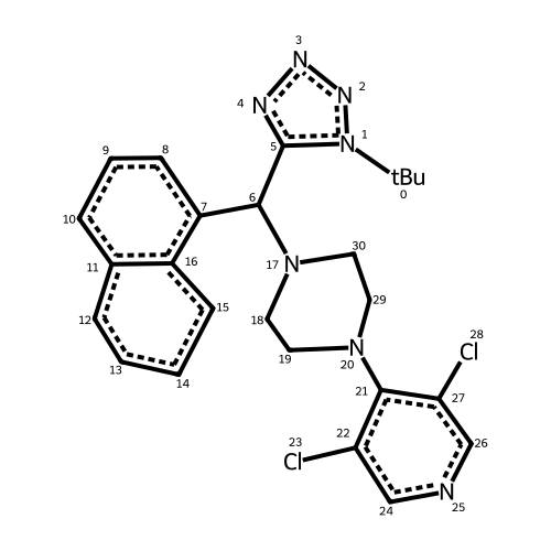 CC(C)(C)n1nnnc1C(c1cccc2ccccc12)N1CCN(c2c(Cl)cncc2Cl)CC1